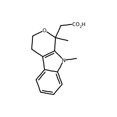 Cn1c2c(c3ccccc31)CCOC2(C)CC(=O)O